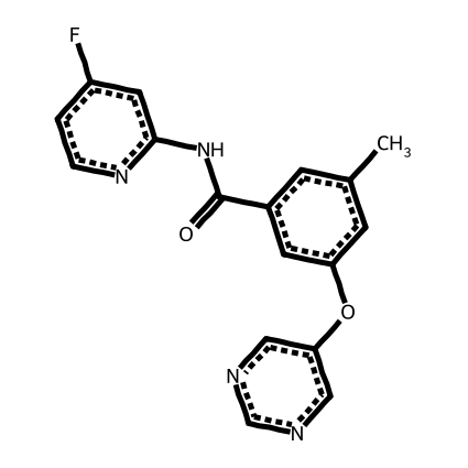 Cc1cc(Oc2cncnc2)cc(C(=O)Nc2cc(F)ccn2)c1